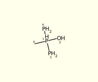 C[PH](O)(P)P